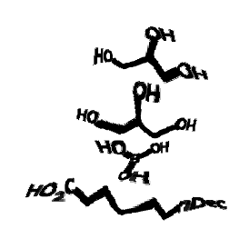 CCCCCCCCCCCCCCCC(=O)O.OB(O)O.OCC(O)CO.OCC(O)CO